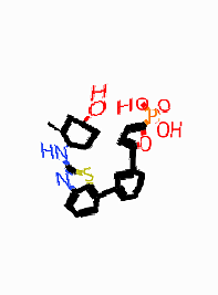 C[C@H]1C[C@@H](O)CC[C@@H]1Nc1nc2cccc(-c3cccc(-c4ccc(P(=O)(O)O)o4)c3)c2s1